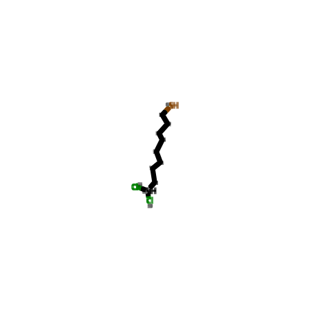 SCCCCCCCC[SiH](Cl)Cl